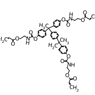 C=CC(=O)OCCNC(=O)Oc1ccc(C(C)(C)c2ccc(C(C)(c3ccc(OC(=O)NCCOC(=O)C=C)cc3)c3ccc(OC(=O)NCCOC(=O)C=C)cc3)cc2)cc1